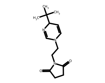 CC(C)(C)C1C=CN(CCN2C(=O)CCC2=O)C=N1